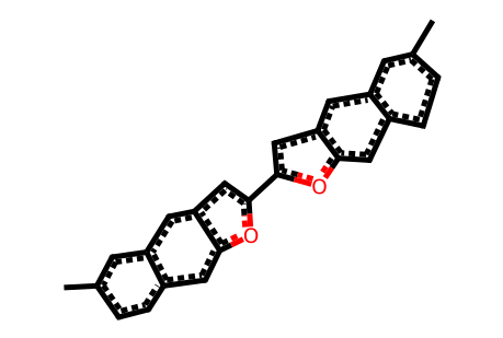 Cc1ccc2cc3oc(-c4cc5cc6cc(C)ccc6cc5o4)cc3cc2c1